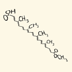 COC(=O)/C=C/C=C(C)/C=C/C=C(C)/C=C/C=C(C)/C=C/C=C(C)/C=C/C(=O)O